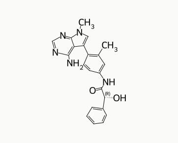 Cc1cc(NC(=O)[C@H](O)c2ccccc2)ccc1-c1cn(C)c2ncnc(N)c12